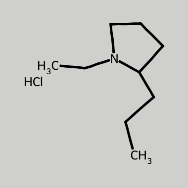 CCCC1CCCN1CC.Cl